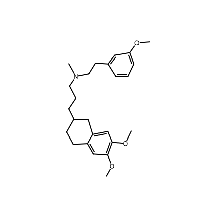 COc1cccc(CCN(C)CCCC2CCc3cc(OC)c(OC)cc3C2)c1